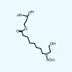 CCCCCCCCN(CCO)CCCCCCCC(=O)OCCC(CCC)CCC